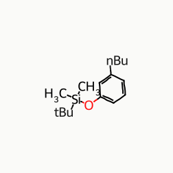 CCCCc1cccc(O[Si](C)(C)C(C)(C)C)c1